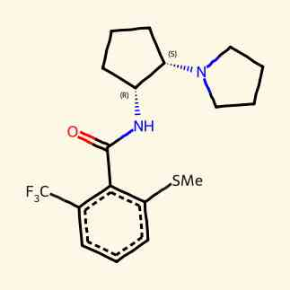 CSc1cccc(C(F)(F)F)c1C(=O)N[C@@H]1CCC[C@@H]1N1CCCC1